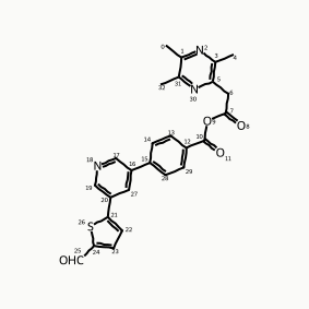 Cc1nc(C)c(CC(=O)OC(=O)c2ccc(-c3cncc(-c4ccc(C=O)s4)c3)cc2)nc1C